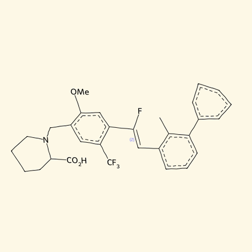 COc1cc(/C(F)=C/c2cccc(-c3ccccc3)c2C)c(C(F)(F)F)cc1CN1CCCCC1C(=O)O